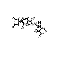 CCCN(CCC)c1ccc(C(=O)NCCNC(CC)C(O)CC)cc1C